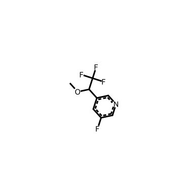 COC(c1cncc(F)c1)C(F)(F)F